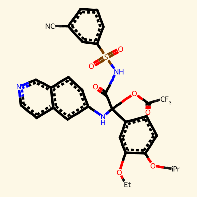 CCOc1cc(C(Nc2ccc3cnccc3c2)(OC(=O)C(F)(F)F)C(=O)NS(=O)(=O)c2cccc(C#N)c2)ccc1OC(C)C